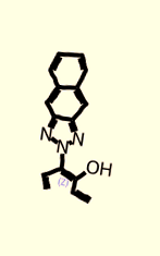 C=C/C(O)=C(\C=C)n1nc2cc3ccccc3cc2n1